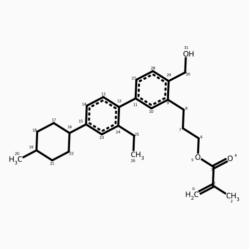 C=C(C)C(=O)OCCCc1cc(-c2ccc(C3CCC(C)CC3)cc2CC)ccc1CO